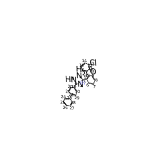 N=C(/N=C(\N)c1cccc2oc3c(Cl)cccc3c12)c1ccc(-c2ccccc2)cc1